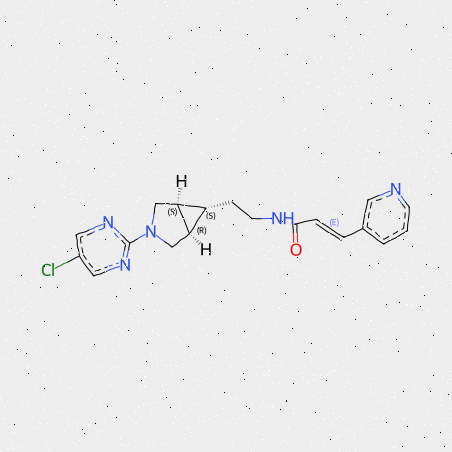 O=C(/C=C/c1cccnc1)NCC[C@@H]1[C@H]2CN(c3ncc(Cl)cn3)C[C@@H]12